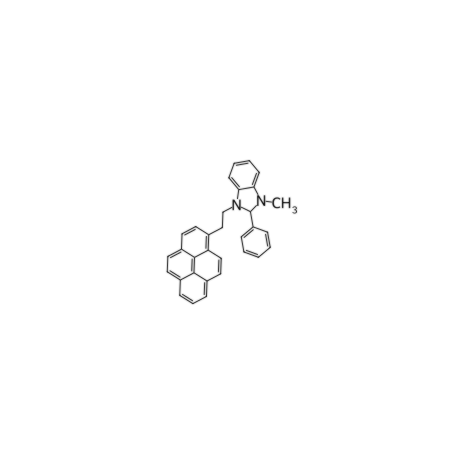 CN1c2ccccc2N(CCc2ccc3ccc4cccc5ccc2c3c45)C1c1ccccc1